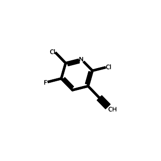 C#Cc1cc(F)c(Cl)nc1Cl